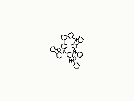 c1ccc(-c2ccc(N(c3cc(N(c4ccccc4)c4ccc5c(c4)c4ccccc4n5-c4ccccc4)c4oc(-c5ccccc5)nc4c3)c3cccc4c3oc3ccccc34)cc2)cc1